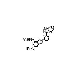 CNCc1nc(N(C)C(C)C)cc2c1CN(c1cccc(-c3nnc4n3C(C)COC4)n1)C2